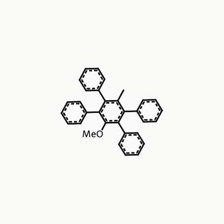 COc1c(-c2ccccc2)c(-c2ccccc2)c(C)c(-c2ccccc2)c1-c1ccccc1